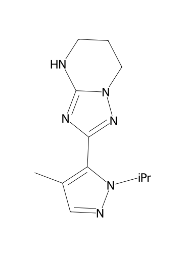 Cc1cnn(C(C)C)c1-c1nc2n(n1)CCCN2